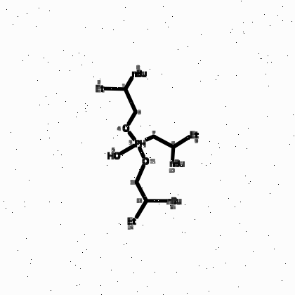 CCCCC(CC)CO[PH](O)(CC(CC)CCCC)OCC(CC)CCCC